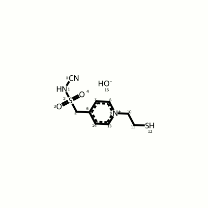 N#CNS(=O)(=O)Cc1cc[n+](CCS)cc1.[OH-]